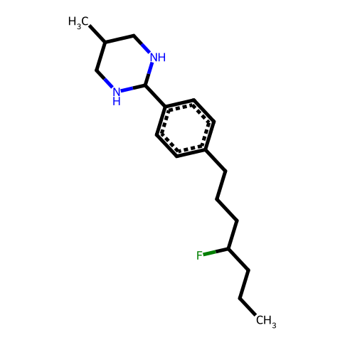 CCCC(F)CCCc1ccc(C2NCC(C)CN2)cc1